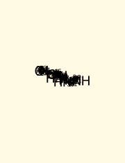 Cc1cc2cc(Nc3ccnc(Nc4cccc(OCCCN5CCOCC5)c4)n3)ccc2[nH]1